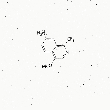 COc1cnc(C(F)(F)F)c2cc(N)ccc12